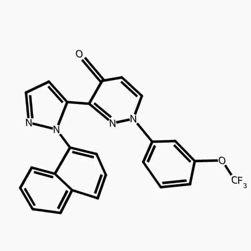 O=c1ccn(-c2cccc(OC(F)(F)F)c2)nc1-c1ccnn1-c1cccc2ccccc12